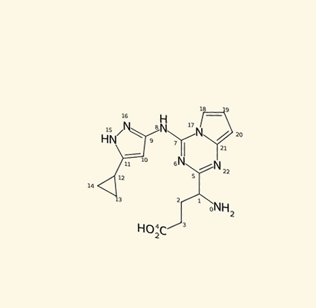 NC(CCC(=O)O)c1nc(Nc2cc(C3CC3)[nH]n2)n2cccc2n1